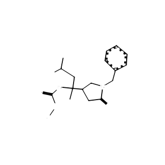 CC(C)(C)OC(=O)NC(C)(CC(F)F)C1CC(=O)N(Cc2ccccc2)C1